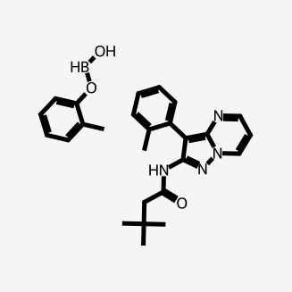 Cc1ccccc1-c1c(NC(=O)CC(C)(C)C)nn2cccnc12.Cc1ccccc1OBO